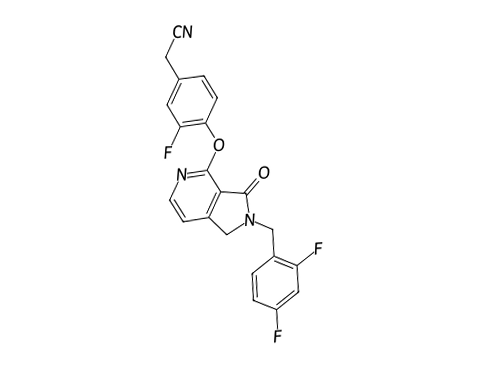 N#CCc1ccc(Oc2nccc3c2C(=O)N(Cc2ccc(F)cc2F)C3)c(F)c1